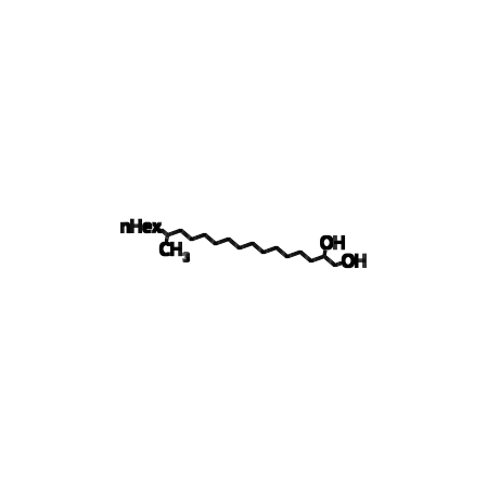 CCCCCCC(C)CCCCCCCCCCCCC(O)CO